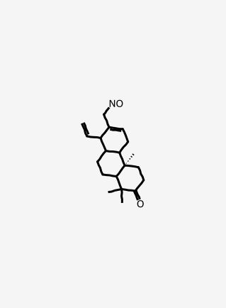 C=CC1C(CN=O)=CCC2C1CCC1C(C)(C)C(=O)CC[C@]21C